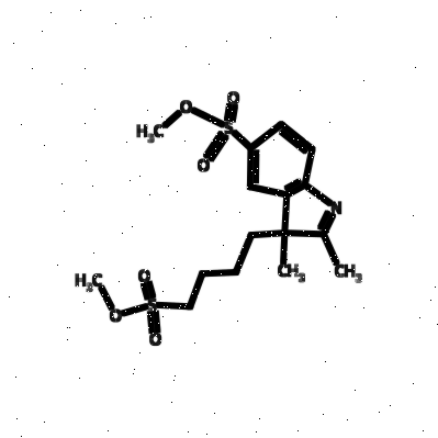 COS(=O)(=O)CCCCC1(C)C(C)=Nc2ccc(S(=O)(=O)OC)cc21